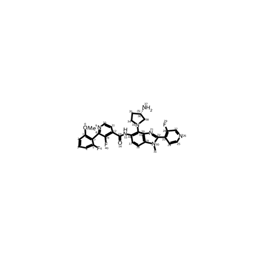 COc1cccc(F)c1-c1nccc(C(=O)Nc2ccc3c(nc(-c4ccncc4F)n3C)c2N2CC[C@H](N)C2)c1F